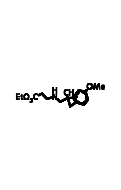 CCOC(=O)CCNCC1(C)Cc2ccc(OC)cc21